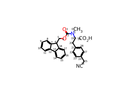 CN(C(=O)OCC1c2ccccc2-c2ccccc21)[C@@H](Cc1ccc(CC#N)cc1)C(=O)O